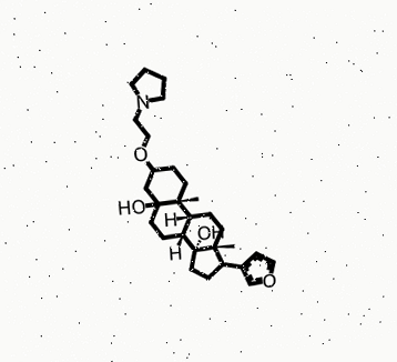 C[C@]12CCC(OCCN3CCCC3)CC1(O)CC[C@@H]1[C@H]2CC[C@]2(C)C(c3ccoc3)CC[C@@]12O